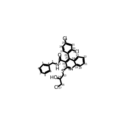 O=C(NCc1ccccc1)c1c(SCC(O)CCl)nc2ccccc2c1-c1ccc(Cl)cc1Cl